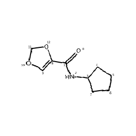 O=C(NC1CCCC1)C1=COCO1